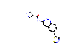 O=C(Nc1cc2cc(-c3cncs3)ccc2nn1)C1CNC1